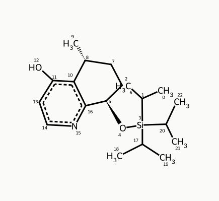 CC(C)[Si](O[C@@H]1CC[C@@H](C)c2c(O)ccnc21)(C(C)C)C(C)C